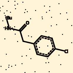 CC(C)(C)NC(=O)Cc1ccc(Cl)cc1